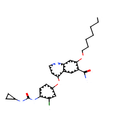 CCCCCCCOc1cc2nccc(Oc3ccc(NC(=O)NC4CC4)c(Cl)c3)c2cc1C(N)=O